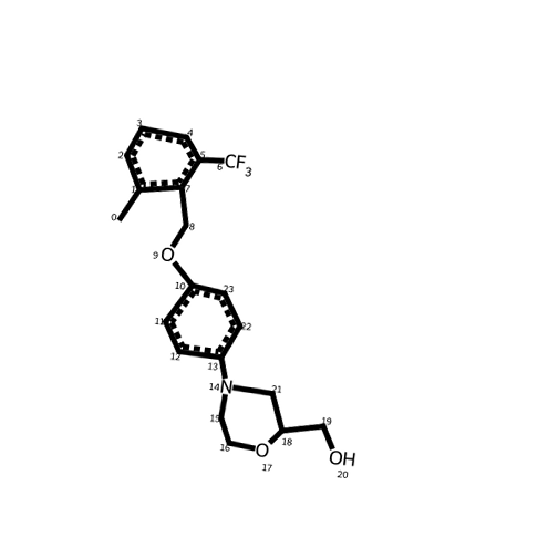 Cc1cccc(C(F)(F)F)c1COc1ccc(N2CCOC(CO)C2)cc1